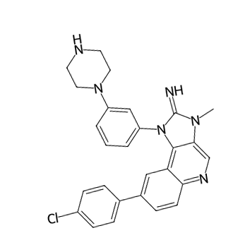 Cn1c(=N)n(-c2cccc(N3CCNCC3)c2)c2c3cc(-c4ccc(Cl)cc4)ccc3ncc21